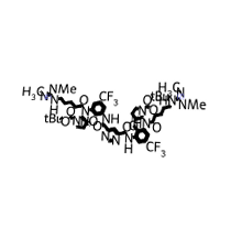 C/N=C(/NC)NCCCCC(=O)Nc1cc(C(F)(F)F)cc(NC(=O)c2cc(C(=O)Nc3cc(C(F)(F)F)cc(NC(=O)CCCCN/C(=N/C)NC)c3O[C@@H]3CCN(C(=O)OC(C)(C)C)C3)ncn2)c1O[C@@H]1CCN(C(=O)OC(C)(C)C)C1